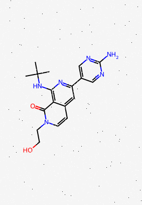 CC(C)(C)Nc1nc(-c2cnc(N)nc2)cc2ccn(CCO)c(=O)c12